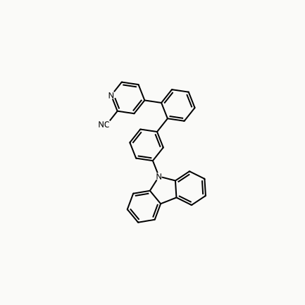 N#Cc1cc(-c2ccccc2-c2cccc(-n3c4ccccc4c4ccccc43)c2)ccn1